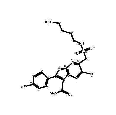 CCc1cc2c(C(=O)NC)c(-c3ccc(F)cc3)oc2nc1CS(=O)(=O)NCCCCC(=O)O